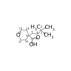 CC(C)(C)CCC1(C(=O)O)CCOCC1